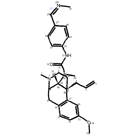 C=CC[C@@]12CCN(C)C(Cc3ccc(OC)cc31)[C@@H]2N(C)C(=O)Nc1ccc(/C=N\C)cc1